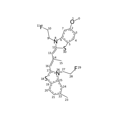 COc1ccc2c(c1)N(CCF)/C(=C/C(C)=C/c1sc3ccc(C)cc3[n+]1CCF)S2